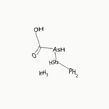 O=C(O)[AsH][SbH][PH2].[InH3]